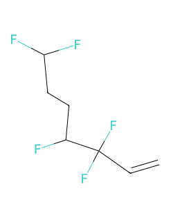 C=CC(F)(F)C(F)CCC(F)F